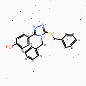 Oc1ccc(-c2nnc(SCc3ccccc3)n2Cc2ccccc2)cc1